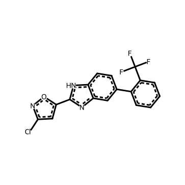 FC(F)(F)c1ccccc1-c1ccc2[nH]c(-c3cc(Cl)no3)nc2c1